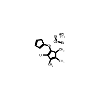 CC1=C(C)C(C)[C]([Zr][C]2=CC=CC2)=C1C.C[CH2][Ge][CH2]C.Cl.Cl